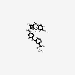 CNC(=O)c1cc(Oc2ccc(Nc3c(Nc4cc(C)ccc4F)c(=O)c3=O)cc2)ccn1